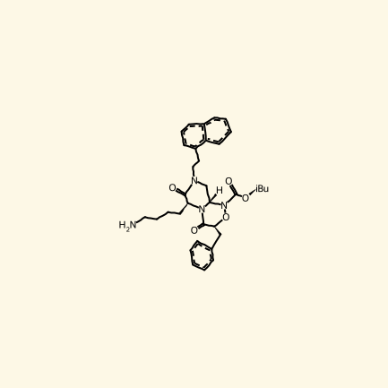 CC[C@H](C)OC(=O)N1O[C@@H](Cc2ccccc2)C(=O)N2[C@@H]1CN(CCc1cccc3ccccc13)C(=O)[C@@H]2CCCCN